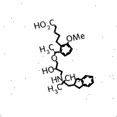 COc1cccc([C@@H](C)OC[C@H](O)CNC(C)(C)CC2Cc3ccccc3C2)c1CCCCC(=O)O